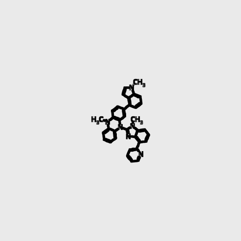 CN1c2ccccc2N(c2nc3c(-c4ccccn4)cccc3n2C)c2cc(-c3cccc4c3ccn4C)ccc21